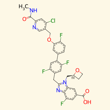 CNC(=O)c1cc(Cl)c(COc2cc(-c3cc(F)c(Cc4nc5c(F)cc(C(=O)O)cc5n4C[C@@H]4CCO4)cc3F)ccc2F)cn1